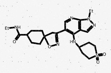 CCNC(=O)C1CCC2(CC1)CC(c1cnc3c(cnn3CC)c1NC1CCS(=O)(=O)CC1)=NO2